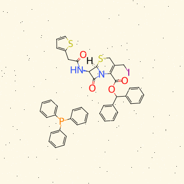 O=C(Cc1cccs1)N[C@@H]1C(=O)N2C(C(=O)OC(c3ccccc3)c3ccccc3)=C(CI)CS[C@H]12.c1ccc(P(c2ccccc2)c2ccccc2)cc1